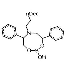 CCCCCCCCCCCCN1CC(c2ccccc2)OB(O)OCC1c1ccccc1